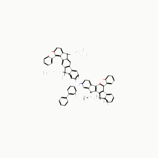 CCCCCCCCC1(CCCCCCCC)c2cc(N(c3ccc(-c4ccccc4)cc3)c3ccc4c(c3)C(C)(C)c3c5c(c6c(oc7ccccc76)c3-4)-c3ccccc3C5(C)C)ccc2-c2cc3c(cc21)-c1c(ccc2oc4ccccc4c12)C3(CCCCCCCC)CCCCCCCC